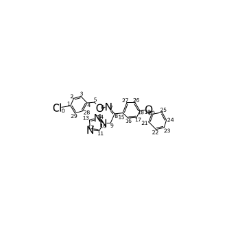 Clc1ccc(CON=C(Cn2cncn2)c2ccc(Oc3ccccc3)cc2)cc1